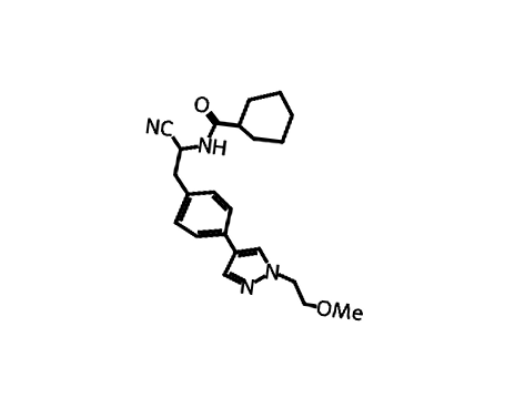 COCCn1cc(-c2ccc(CC(C#N)NC(=O)C3CCCCC3)cc2)cn1